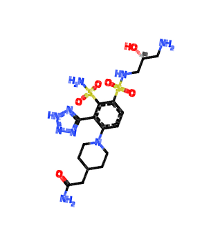 NC[C@@H](O)CNS(=O)(=O)c1ccc(N2CCC(CC(N)=O)CC2)c(-c2nn[nH]n2)c1S(N)(=O)=O